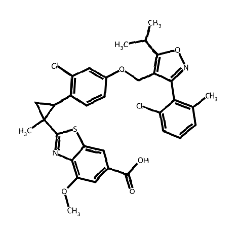 COc1cc(C(=O)O)cc2sc(C3(C)CC3c3ccc(OCc4c(-c5c(C)cccc5Cl)noc4C(C)C)cc3Cl)nc12